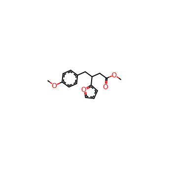 COC(=O)CC(Cc1ccc(OC)cc1)c1ccco1